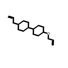 C=CCOC1CCC(C2CCC(CC=C)CC2)CC1